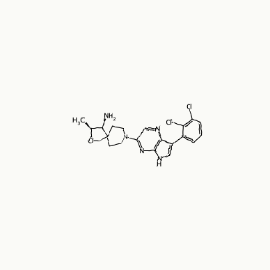 C[C@@H]1OCC2(CCN(c3cnc4c(-c5cccc(Cl)c5Cl)c[nH]c4n3)CC2)[C@@H]1N